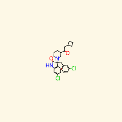 O=C(CC1CCC1)C1CCCN(C2(Cc3cccc(Cl)c3)C(=O)Nc3cc(Cl)ccc32)C1